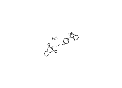 Cl.O=C1CC2(CCCC2)CC(=O)N1CCCCN1CCN(c2nsc3ccccc23)CC1